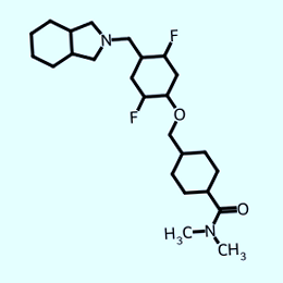 CN(C)C(=O)C1CCC(COC2CC(F)C(CN3CC4CCCCC4C3)CC2F)CC1